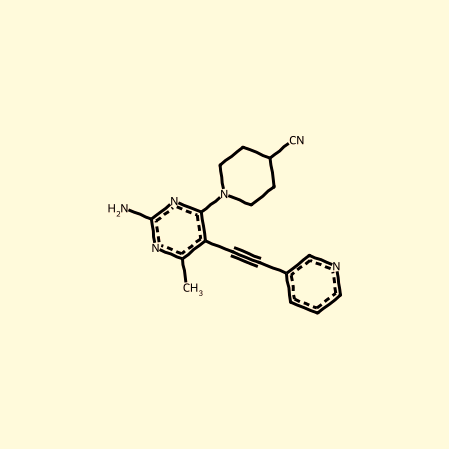 Cc1nc(N)nc(N2CCC(C#N)CC2)c1C#Cc1cccnc1